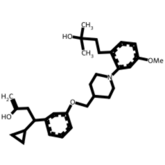 C=C(O)CC(c1cccc(OCC2CCN(c3cc(OC)ccc3CCC(C)(C)O)CC2)c1)C1CC1